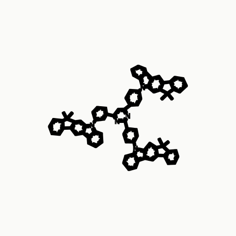 CC1(C)c2ccccc2-c2cc3c4ccccc4n(-c4ccc(-c5cc(-c6cccc(-n7c8ccccc8c8cc9c(cc87)C(C)(C)c7ccccc7-9)c6)nc(-c6ccc(-n7c8ccccc8c8cc9c(cc87)C(C)(C)c7ccccc7-9)cc6)n5)cc4)c3cc21